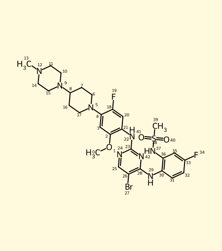 COc1cc(N2CCC(N3CCN(C)CC3)CC2)c(F)cc1Nc1ncc(Br)c(Nc2ccc(F)cc2NS(C)(=O)=O)n1